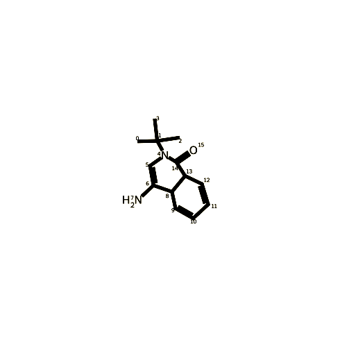 CC(C)(C)N1C=C(N)C2C=CC=CC2C1=O